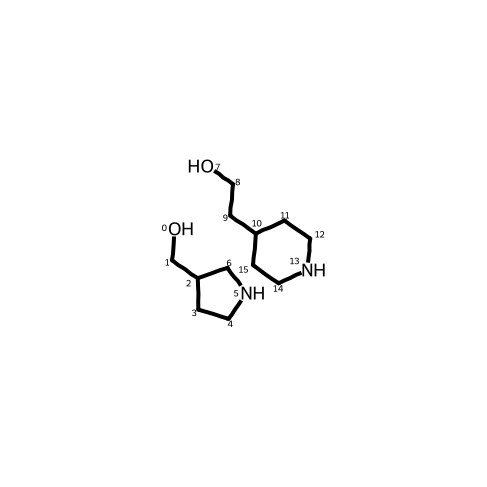 OCC1CCNC1.OCCC1CCNCC1